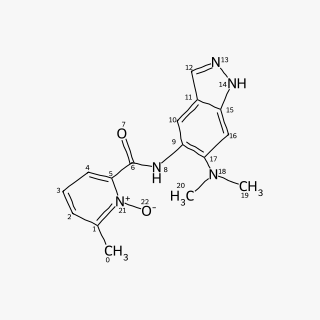 Cc1cccc(C(=O)Nc2cc3cn[nH]c3cc2N(C)C)[n+]1[O-]